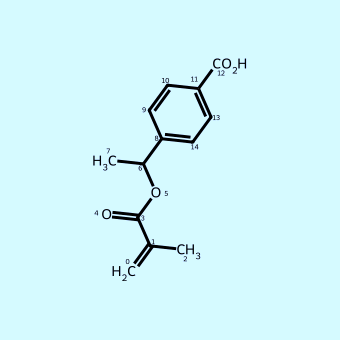 C=C(C)C(=O)OC(C)c1ccc(C(=O)O)cc1